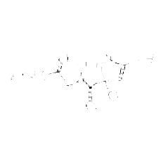 C=C(CNC(=O)C1(C)C=C(C)N=N1)C(=O)OCC